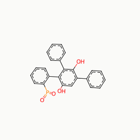 O=P(=O)c1ccccc1-c1c(O)cc(-c2ccccc2)c(O)c1-c1ccccc1